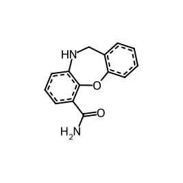 NC(=O)c1cccc2c1Oc1ccccc1CN2